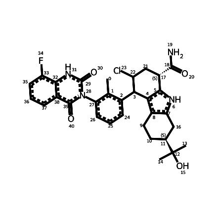 Cc1c(C2c3c([nH]c4c3CC[C@H](C(C)(C)O)C4)[C@@H](C(N)=O)CC2Cl)cccc1-n1c(=O)[nH]c2c(F)cccc2c1=O